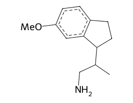 COc1ccc2c(c1)C(C(C)CN)CC2